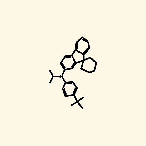 CC(C)N(c1ccc(C(C)(C)C)cc1)c1ccc2c(c1)C1(CCCCC1)c1ccccc1-2